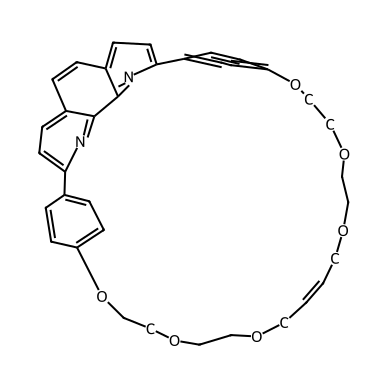 C1=CCOCCOCCOc2ccc(cc2)-c2ccc3ccc4ccc(nc4c3n2)-c2ccc(cc2)OCCOCCOC1